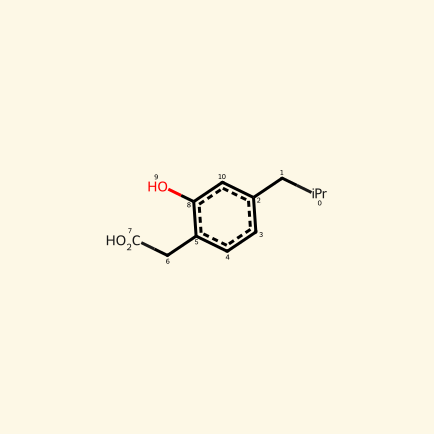 CC(C)Cc1ccc(CC(=O)O)c(O)c1